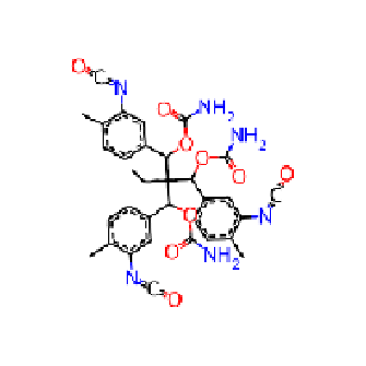 CCC(C(OC(N)=O)c1ccc(C)c(N=C=O)c1)(C(OC(N)=O)c1ccc(C)c(N=C=O)c1)C(OC(N)=O)c1ccc(C)c(N=C=O)c1